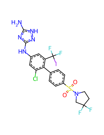 Nc1nc(Nc2cc(Cl)c(-c3ccc(S(=O)(=O)N4CCC(F)(F)C4)cc3)c(C(F)(F)I)c2)n[nH]1